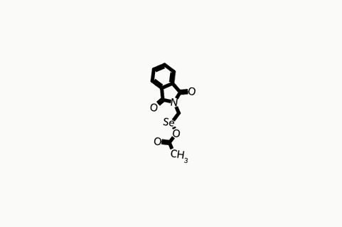 CC(=O)O[Se]CN1C(=O)c2ccccc2C1=O